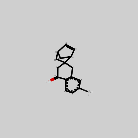 CCC(C)c1ccc2c(c1)CC1(CC2=O)CC2C=CC1C2